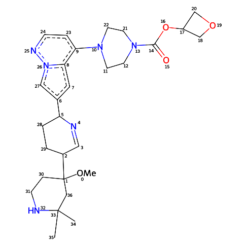 COC1(C2C=NC(c3cc4c(N5CCN(C(=O)OC6COC6)CC5)ccnn4c3)CC2)CCNC(C)(C)C1